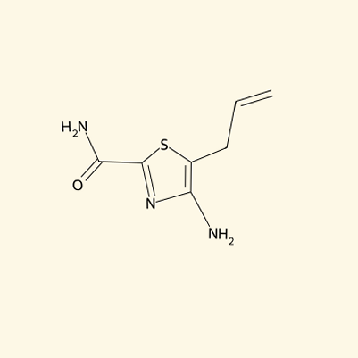 C=CCc1sc(C(N)=O)nc1N